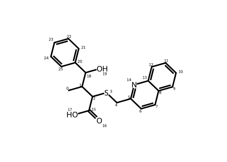 CC(C(SCc1ccc2ccccc2n1)C(=O)O)C(O)c1ccccc1